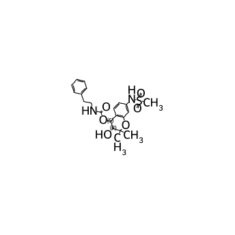 CC1(C)Oc2cc(NS(C)(=O)=O)ccc2[C@H](OC(=O)NCCc2ccccc2)[C@H]1O